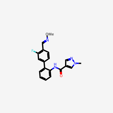 CO/N=C/c1ccc(-c2ccccc2NC(=O)c2cnn(C)c2)cc1F